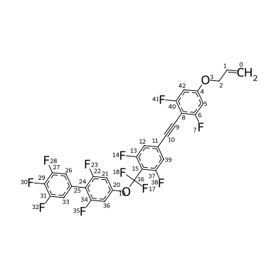 C=CCOc1cc(F)c(C#Cc2cc(F)c(C(F)(F)Oc3cc(F)c(-c4cc(F)c(F)c(F)c4)c(F)c3)c(F)c2)c(F)c1